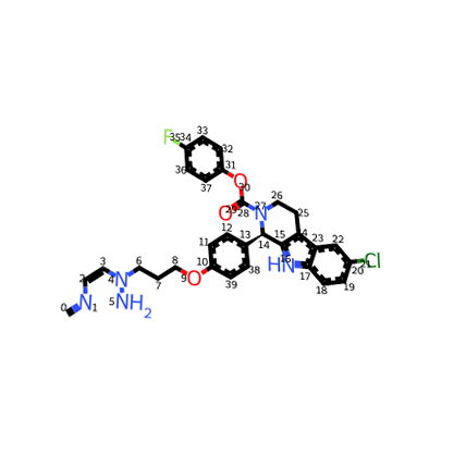 C=N/C=C\N(N)CCCOc1ccc([C@@H]2c3[nH]c4ccc(Cl)cc4c3CCN2C(=O)Oc2ccc(F)cc2)cc1